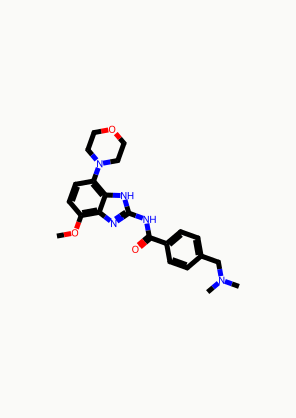 COc1ccc(N2CCOCC2)c2[nH]c(NC(=O)c3ccc(CN(C)C)cc3)nc12